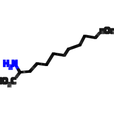 CCCCCCCCCCCCCCCCCC(N)C(=O)O